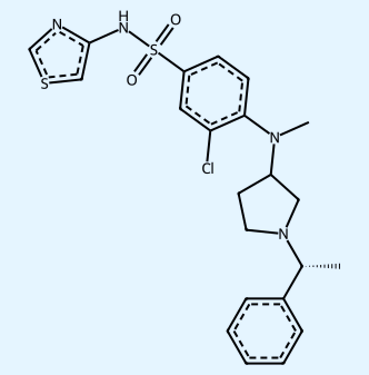 C[C@H](c1ccccc1)N1CCC(N(C)c2ccc(S(=O)(=O)Nc3cscn3)cc2Cl)C1